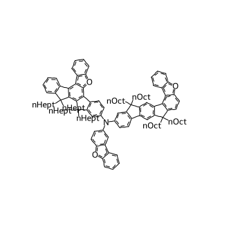 CCCCCCCCC1(CCCCCCCC)c2cc(N(c3ccc4c(c3)C(CCCCCCC)(CCCCCCC)c3c5c(c6c(oc7ccccc76)c3-4)-c3ccccc3C5(CCCCCCC)CCCCCCC)c3ccc4oc5ccccc5c4c3)ccc2-c2cc3c(cc21)-c1c(ccc2oc4ccccc4c12)C3(CCCCCCCC)CCCCCCCC